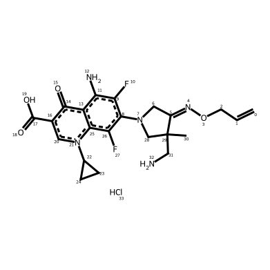 C=CCON=C1CN(c2c(F)c(N)c3c(=O)c(C(=O)O)cn(C4CC4)c3c2F)CC1(C)CN.Cl